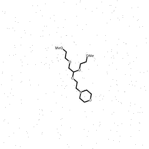 COCCOCC(OCCOC)OCCN1CCOCC1